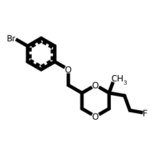 CC1(CCF)COCC(COc2ccc(Br)cc2)O1